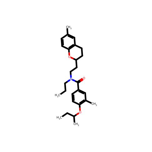 CCCN(CCC1CCc2cc(C)ccc2O1)C(=O)c1ccc(OC(C)CC)c(C)c1